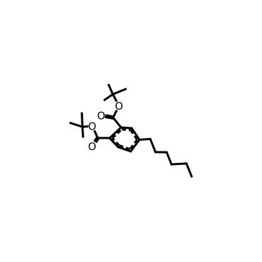 CCCCCCc1ccc(C(=O)OC(C)(C)C)c(C(=O)OC(C)(C)C)c1